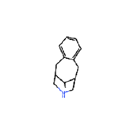 CC1C2CNCC1Cc1ccccc1C2